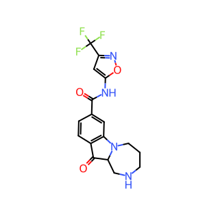 O=C(Nc1cc(C(F)(F)F)no1)c1ccc2c(c1)N1CCCNCC1C2=O